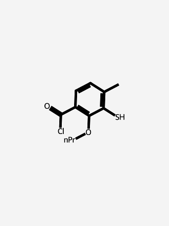 CCCOc1c(C(=O)Cl)ccc(C)c1S